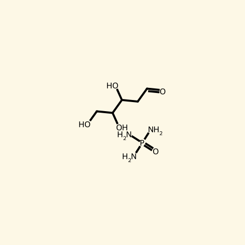 NP(N)(N)=O.O=CCC(O)C(O)CO